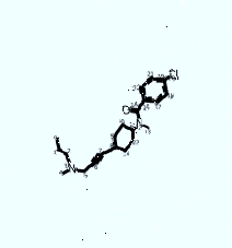 CCCN(C)CC#CC1CCC(N(C)C(=O)c2ccc(Cl)cc2)CC1